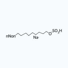 CCCCCCCCCCCCCCCCCCOS(=O)(=O)O.[Na]